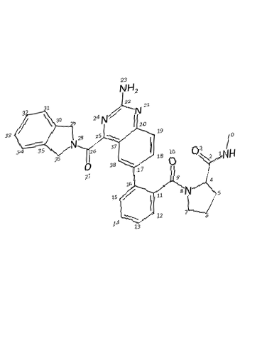 CNC(=O)C1CCCN1C(=O)c1ccccc1-c1ccc2nc(N)nc(C(=O)N3Cc4ccccc4C3)c2c1